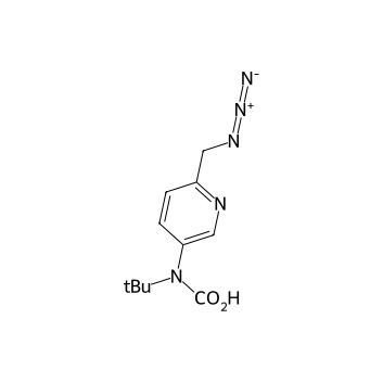 CC(C)(C)N(C(=O)O)c1ccc(CN=[N+]=[N-])nc1